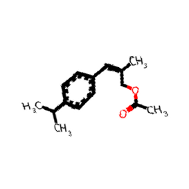 CC(=O)OCC(C)=Cc1ccc(C(C)C)cc1